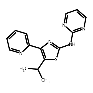 CC(C)c1sc(Nc2ncccn2)nc1-c1ccccn1